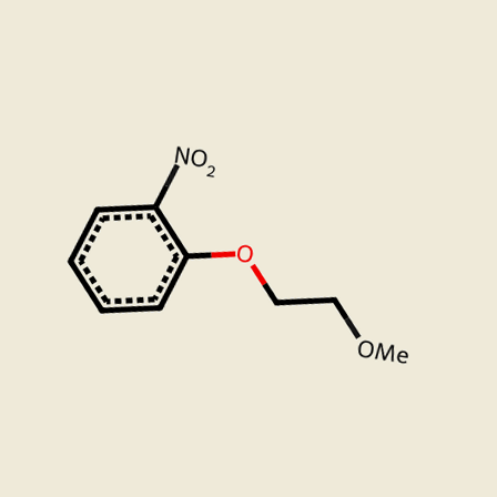 COCCOc1ccccc1[N+](=O)[O-]